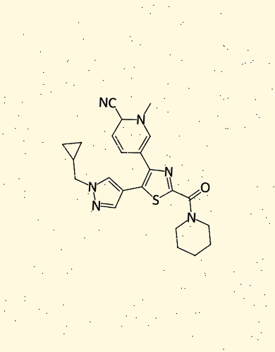 CN1C=C(c2nc(C(=O)N3CCCCC3)sc2-c2cnn(CC3CC3)c2)C=CC1C#N